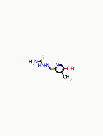 Cc1cc(/C=N/NC(N)=S)ncc1O